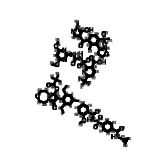 CCc1cc(C)cc(CC)c1-c1c(OC(=O)C(C)(C)C)n2n(c1=O)CCOCC2.COc1cc(OC)nc(NC(=O)NS(=O)(=O)c2nc(C(F)(F)F)ccc2C(=O)O)n1.COc1ccccc1C(=O)NS(=O)(=O)c1ccc(C(=O)NC2CC2)cc1.Cc1c(C(=O)c2cnn(C)c2O)ccc(S(C)(=O)=O)c1C1=NOCC1